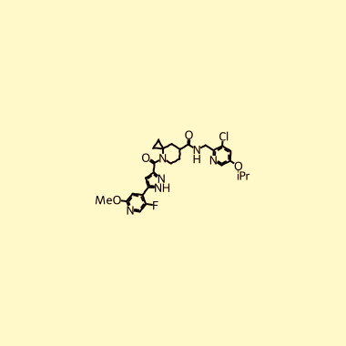 COc1cc(-c2cc(C(=O)N3CCC(C(=O)NCc4ncc(OC(C)C)cc4Cl)CC34CC4)n[nH]2)c(F)cn1